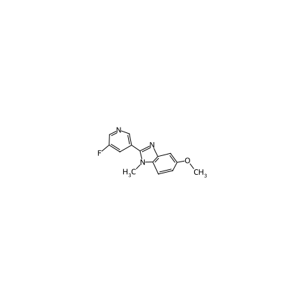 COc1ccc2c(c1)nc(-c1cncc(F)c1)n2C